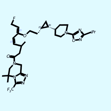 CC(/C=C\C(=C/CF)OCC[C@@H]1C[C@@H]1C1CCN(c2nc(C(C)C)no2)CC1)CC(=O)N1Cc2nnc(C(F)(F)F)n2C(C)(C)C1